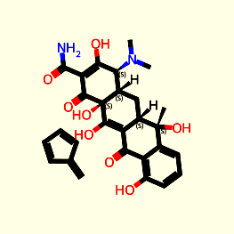 C=C1C=CC=C1.CN(C)[C@@H]1C(O)=C(C(N)=O)C(=O)[C@@]2(O)C(O)=C3C(=O)c4c(O)cccc4[C@@](C)(O)[C@H]3C[C@@H]12